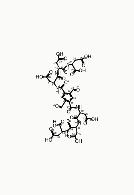 O=Cc1cc(C(=O)N[C@@H](CC(=O)O)C(=O)N[C@@H](CC(=O)O)C(=O)N[C@@H](CC(=O)O)C(=O)O)c(C=O)cc1C(=O)N[C@@H](CC(=O)O)C(=O)N[C@@H](CC(=O)O)C(=O)N[C@@H](CC(=O)O)C(=O)O